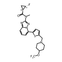 CN(C(=O)[C@H]1C[C@@H]1F)c1nc2cccc(-c3ccc(CN4CCC(OC(F)(F)F)CC4)s3)n2n1